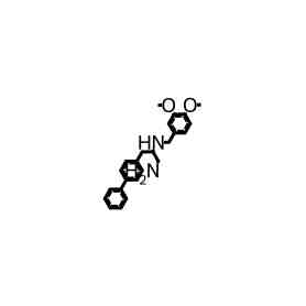 COc1ccc(CNC(CN)Cc2ccc(-c3ccccc3)cc2)cc1OC